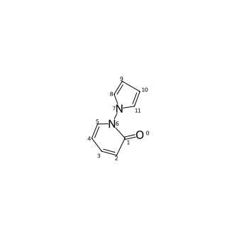 O=c1ccccn1-n1cccc1